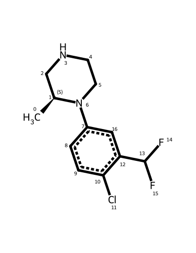 C[C@H]1CNCCN1c1ccc(Cl)c(C(F)F)c1